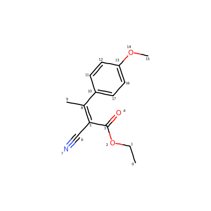 CCOC(=O)/C(C#N)=C(/C)c1ccc(OC)cc1